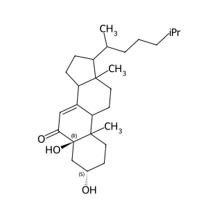 CC(C)CCCC(C)C1CCC2C3=CC(=O)[C@@]4(O)C[C@@H](O)CCC4(C)C3CCC21C